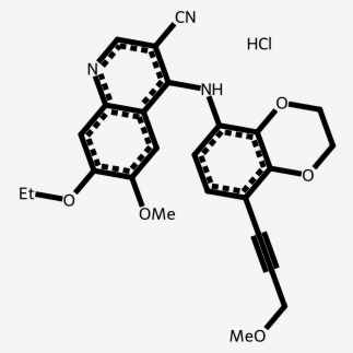 CCOc1cc2ncc(C#N)c(Nc3ccc(C#CCOC)c4c3OCCO4)c2cc1OC.Cl